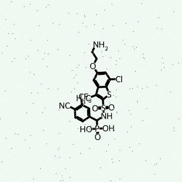 Cc1c(S(=O)(=O)NC(c2ccc(C#N)c(C(F)(F)F)c2)P(=O)(O)O)sc2c(Cl)cc(OCCN)cc12